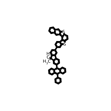 CC1(C)c2ccc(-c3ccc4c(c3)sc3ccc5sc6cc7ccccc7cc6c5c34)cc2-c2ccc(-c3c4ccccc4c(-c4ccccc4)c4ccccc34)cc21